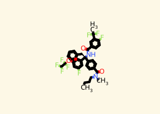 CCCCN(C)C(=O)c1ccc([C@@](Cc2ccccc2)(NC(=O)c2ccc(F)c(C(C)(F)F)c2)c2cc(F)cc(OC(F)(F)C(F)F)c2)cc1